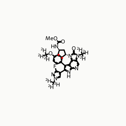 [2H]C([2H])([2H])Oc1ccc(-c2c(-c3cn(C([2H])([2H])[2H])nc3F)[nH]c3ncc4c(c23)n([C@@H]2CC[C@@H](NC(=O)OC)C2)c(=O)n4C([2H])([2H])[2H])cc1